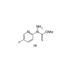 COC(=S)N(N)c1ccc(I)cn1.I